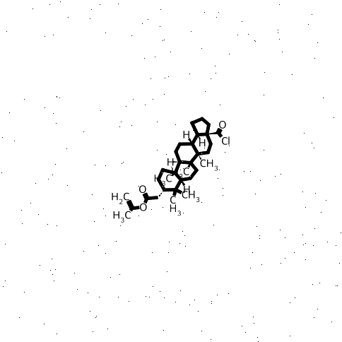 C=C(C)OC(=O)C[C@@H]1CC[C@]2(C)[C@H](CC[C@]3(C)[C@@H]2CC[C@@H]2[C@H]4CCC[C@]4(C(=O)Cl)CC[C@]23C)C1(C)C